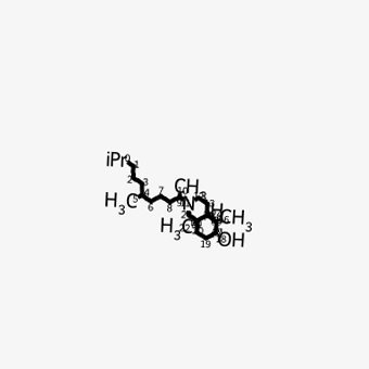 CC(C)CCCC(C)CCCC(C)N1CC[C@@H]2[C@@H](C)[C@H](O)CC[C@@]2(C)C1